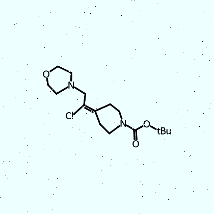 CC(C)(C)OC(=O)N1CCC(=C(Cl)CN2CCOCC2)CC1